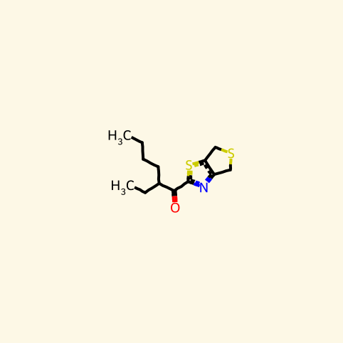 CCCCC(CC)C(=O)c1nc2c(s1)CSC2